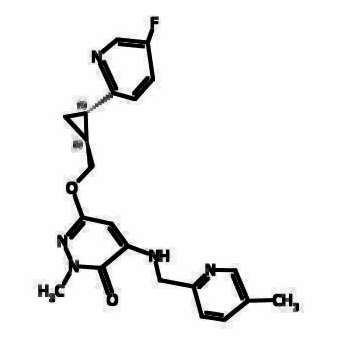 Cc1ccc(CNc2cc(OC[C@H]3C[C@@H]3c3ccc(F)cn3)nn(C)c2=O)nc1